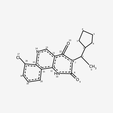 CC(C1CCCC1)n1c(=O)[nH]c2c(cnc3c(Cl)cccc32)c1=O